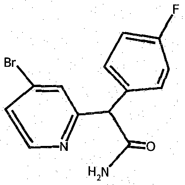 NC(=O)C(c1ccc(F)cc1)c1cc(Br)ccn1